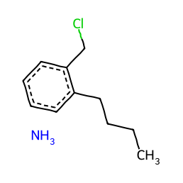 CCCCc1ccccc1CCl.N